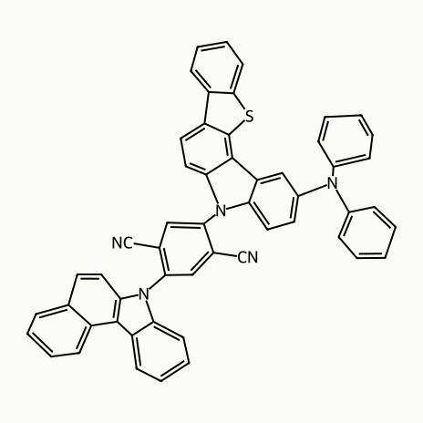 N#Cc1cc(-n2c3ccc(N(c4ccccc4)c4ccccc4)cc3c3c4sc5ccccc5c4ccc32)c(C#N)cc1-n1c2ccccc2c2c3ccccc3ccc21